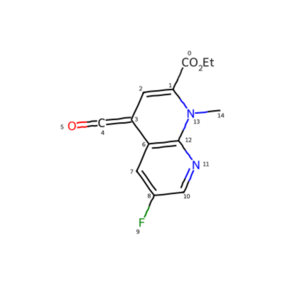 CCOC(=O)C1=CC(=C=O)c2cc(F)cnc2N1C